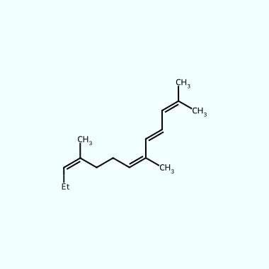 [CH2]CC=C(C)CCC=C(C)C=CC=C(C)C